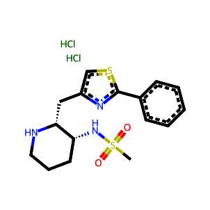 CS(=O)(=O)N[C@@H]1CCCN[C@@H]1Cc1csc(-c2ccccc2)n1.Cl.Cl